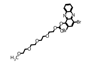 COCCOCCOCCOCCOC(=O)Oc1c(Br)cc(Br)c2nc3ccccc3nc12